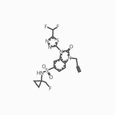 C#CCn1c(=O)n(-c2nnc(C(F)F)s2)c2cc(S(=O)(=O)NC3(CF)CC3)ccc21